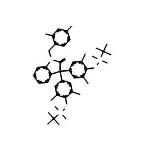 Cc1cc(C2(c3cc(C)c(O[Si](C)(C)C(C)(C)C)c(C)c3)C(=O)N(Cc3ccc(F)cc3F)c3ccccc32)cc(C)c1O[Si](C)(C)C(C)(C)C